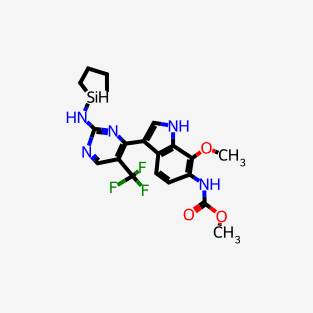 COC(=O)Nc1ccc2c(-c3nc(N[SiH]4CCCC4)ncc3C(F)(F)F)c[nH]c2c1OC